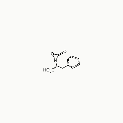 O=C(O)[C@H](Cc1ccccc1)N1OC1=O